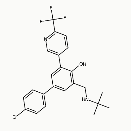 CC(C)(C)NCc1cc(-c2ccc(Cl)cc2)cc(-c2ccc(C(F)(F)F)nc2)c1O